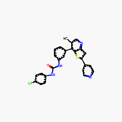 N#Cc1cnc2cc(-c3ccncc3)sc2c1-c1cccc(NC(=O)Nc2ccc(Cl)cc2)c1